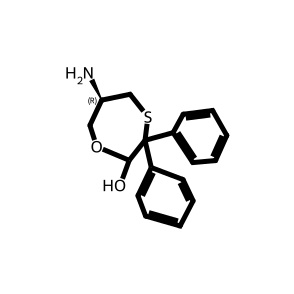 N[C@@H]1COC(O)C(c2ccccc2)(c2ccccc2)SC1